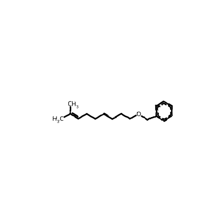 CC(C)=CCCCCCCOCc1ccccc1